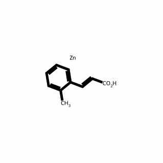 Cc1ccccc1C=CC(=O)O.[Zn]